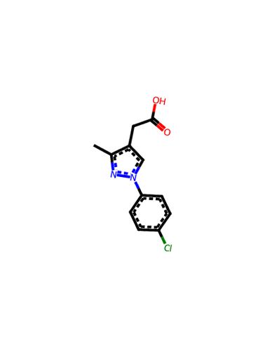 Cc1nn(-c2ccc(Cl)cc2)cc1CC(=O)O